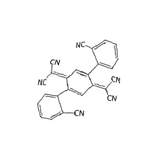 N#CC(C#N)=c1cc(-c2ccccc2C#N)c(=C(C#N)C#N)cc1-c1ccccc1C#N